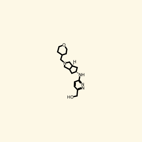 OCc1ccc(N[C@@H]2CC3CN(CC4CCOCC4)C[C@H]3C2)nn1